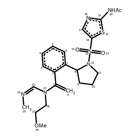 C=C(c1ccccc1C1CCCN1S(=O)(=O)c1cnc(NC(C)=O)s1)N(/C=N\C)CCOC